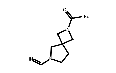 CC(C)(C)C(=O)N1CC2(CCN(C=N)C2)C1